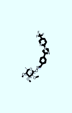 CO[C@@H]1[C@@H](OC)[C@H](C)O[C@@H](O/N=C/c2ccc(-c3cn(-c4ccc(C(F)(F)F)cn4)cn3)cc2)[C@@H]1OC